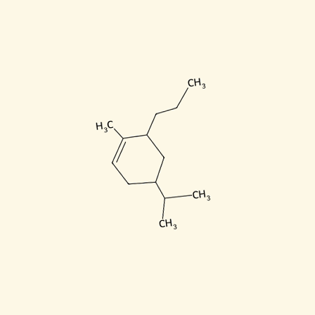 CCCC1CC(C(C)C)CC=C1C